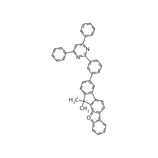 CC1(C)c2ccc(-c3cccc(-c4nc(-c5ccccc5)cc(-c5ccccc5)n4)c3)cc2-c2ccc3c(oc4ccccc43)c21